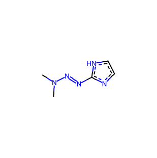 CN(C)N=Nc1ncc[nH]1